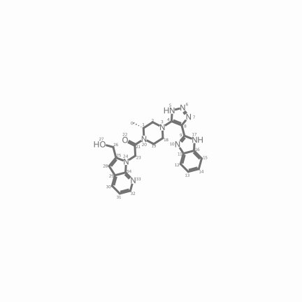 C[C@@H]1CN(c2[nH]nnc2-c2nc3ccccc3[nH]2)CCN1C(=O)Cn1c(CO)cc2cccnc21